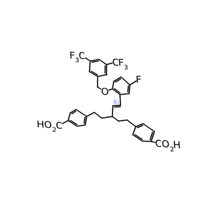 O=C(O)c1ccc(CCC(/C=C/c2cc(F)ccc2OCc2cc(C(F)(F)F)cc(C(F)(F)F)c2)CCc2ccc(C(=O)O)cc2)cc1